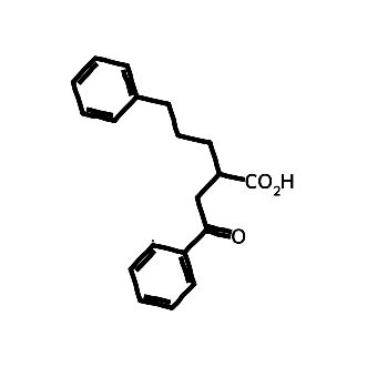 O=C(CC(CCCc1ccccc1)C(=O)O)c1[c]cccc1